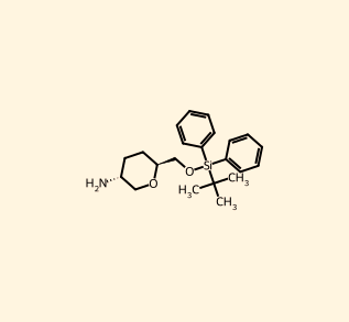 CC(C)(C)[Si](OC[C@@H]1CC[C@@H](N)CO1)(c1ccccc1)c1ccccc1